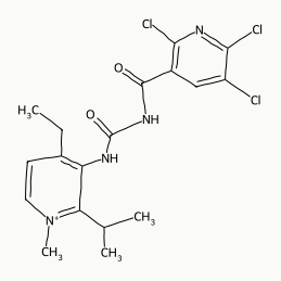 CCc1cc[n+](C)c(C(C)C)c1NC(=O)NC(=O)c1cc(Cl)c(Cl)nc1Cl